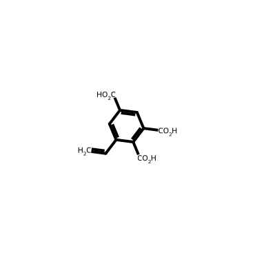 C=Cc1cc(C(=O)O)cc(C(=O)O)c1C(=O)O